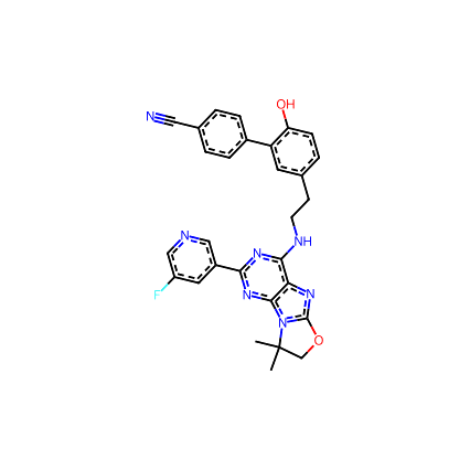 CC1(C)COc2nc3c(NCCc4ccc(O)c(-c5ccc(C#N)cc5)c4)nc(-c4cncc(F)c4)nc3n21